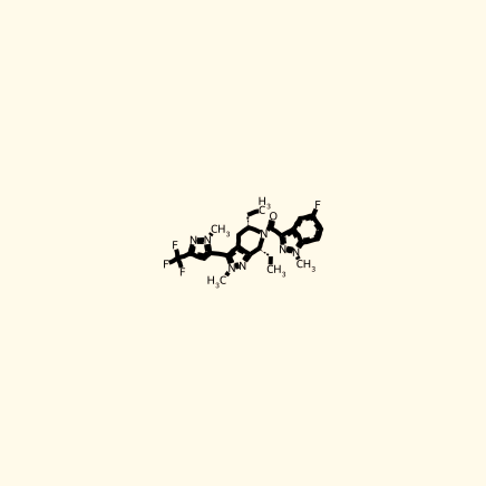 CC[C@H]1Cc2c(nn(C)c2-c2cc(C(F)(F)F)nn2C)[C@@H](CC)N1C(=O)c1nn(C)c2ccc(F)cc12